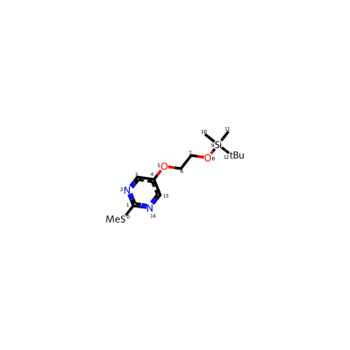 CSc1ncc(OCCO[Si](C)(C)C(C)(C)C)cn1